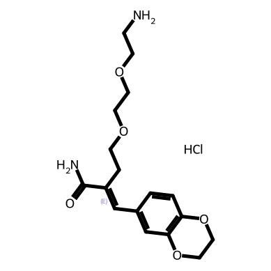 Cl.NCCOCCOCC/C(=C\c1ccc2c(c1)OCCO2)C(N)=O